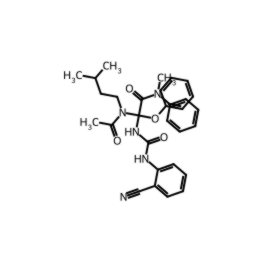 CC(=O)N(CCC(C)C)C(NC(=O)Nc1ccccc1C#N)(Oc1ccccc1)C(=O)N(C)c1ccccc1